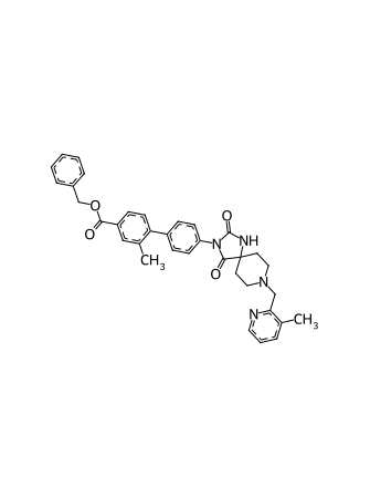 Cc1cc(C(=O)OCc2ccccc2)ccc1-c1ccc(N2C(=O)NC3(CCN(Cc4ncccc4C)CC3)C2=O)cc1